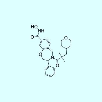 CC(C)(CC1CCOCC1)C(=O)N1Cc2ccc(C(=O)NO)cc2OCC1c1ccccc1